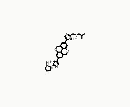 CC(C)CNCc1ncc(-c2cc3c4c(c2)OCc2cc(-c5cnc([C@@H]6C[C@H](C)CN6)[nH]5)cc(c2-4)OC3)[nH]1